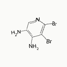 Nc1cnc(Br)c(Br)c1N